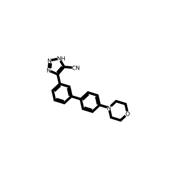 N#Cc1[nH]nnc1-c1cccc(-c2ccc(N3CCOCC3)cc2)c1